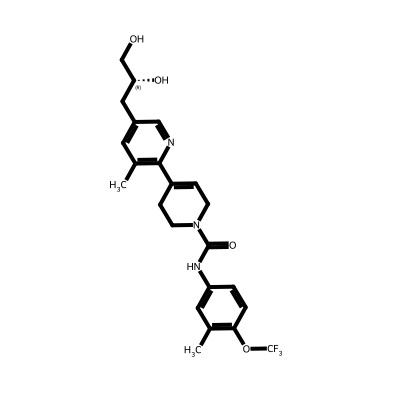 Cc1cc(NC(=O)N2CC=C(c3ncc(C[C@@H](O)CO)cc3C)CC2)ccc1OC(F)(F)F